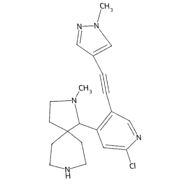 CN1CCC2(CCNCC2)C1c1cc(Cl)ncc1C#Cc1cnn(C)c1